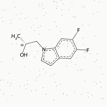 C[C@@H](O)Cn1ccc2cc(F)c(F)cc21